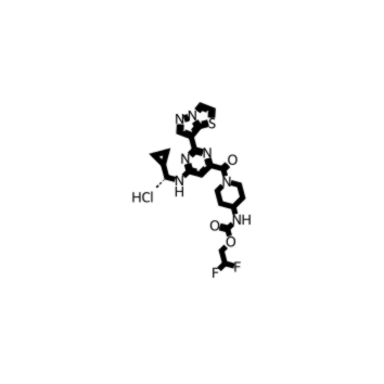 C[C@@H](Nc1cc(C(=O)N2CCC(NC(=O)OCC(F)F)CC2)nc(-c2cnn3ccsc23)n1)C1CC1.Cl